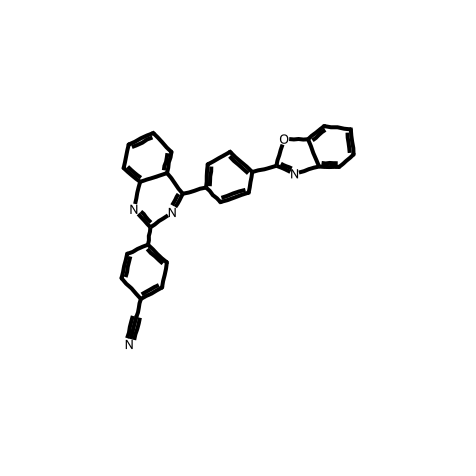 N#Cc1ccc(-c2nc(-c3ccc(-c4nc5ccccc5o4)cc3)c3ccccc3n2)cc1